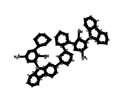 Cc1cc(-c2ccccc2)c(O)c(-n2c3ccccc3c3ccc(-c4cccc(-c5ccccc5-c5cc(C)cc(-n6c7ccccc7c7ccccc76)c5O)n4)cc32)c1